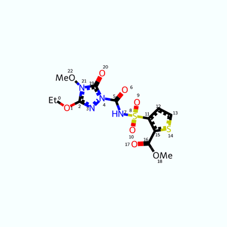 CCOc1nn(C(=O)NS(=O)(=O)c2ccsc2C(=O)OC)c(=O)n1OC